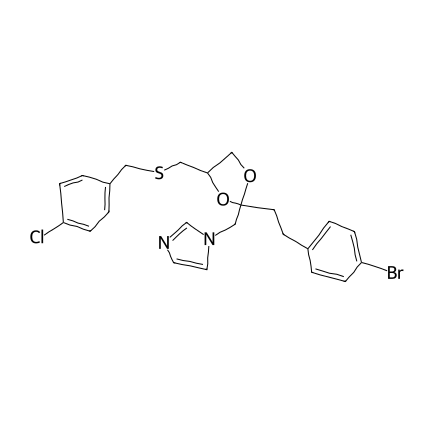 Clc1ccc(CSCC2COC(CCc3ccc(Br)cc3)(Cn3ccnc3)O2)cc1